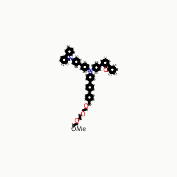 COCCOCCOCCOCc1ccc(-c2ccc(-c3ccc(N(c4ccc(-c5ccc(-n6c7ccccc7c7ccccc76)cc5)cc4)c4ccc(-c5cccc6c5oc5ccccc56)cc4)cc3)cc2)cc1